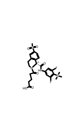 C[Si](C)(C)c1c(F)cc(NC(=O)[C@H]2c3ccc(S(C)(=O)=O)cc3CCN2C(=O)CCCC(=O)O)cc1F